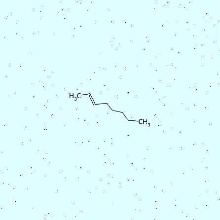 CC=CCCCCC